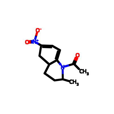 CC(=O)N1C2=CC=C([N+](=O)[O-])CC2CCC1C